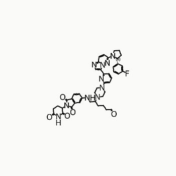 O=CCCCC(CNc1ccc2c(c1)C(=O)N(C1CCC(=O)NC1=O)C2=O)N1CCN(c2cccc(-c3cnc4ccc(N5CCC[C@@H]5c5cccc(F)c5)nn34)n2)CC1